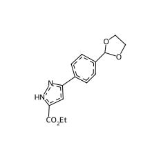 CCOC(=O)c1cc(-c2ccc(C3OCCO3)cc2)n[nH]1